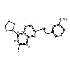 COc1cccc(CNc2ccc3c(N4CCCC4)cc(C)nc3c2)c1